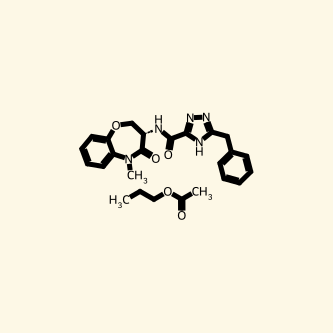 CCCOC(C)=O.CN1C(=O)[C@@H](NC(=O)c2nnc(Cc3ccccc3)[nH]2)COc2ccccc21